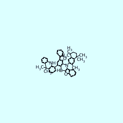 Cc1cc2c(cc1N1c3c(oc4ccccc34)Bc3c(-c4cccc5c4Nc4ccccc4C5(C)C)cc4c(oc5ccccc54)c31)C(C)(C)CCC2(C)C